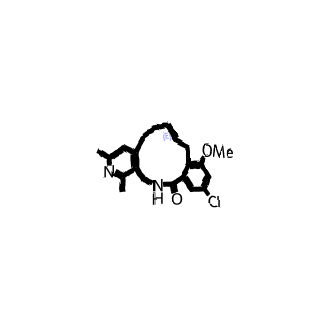 COc1cc(Cl)cc2c1C/C=C/CCc1cc(C)nc(C)c1CNC2=O